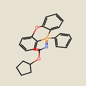 O=C(N=P1(c2ccccc2)c2ccccc2Oc2ccccc21)OC1CCCC1